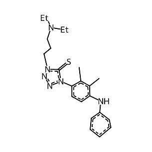 CCN(CC)CCCn1nnn(-c2ccc(Nc3ccccc3)c(C)c2C)c1=S